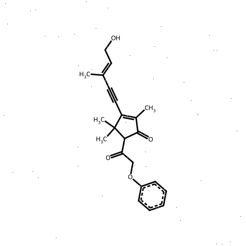 CC1=C(C#C/C(C)=C/CO)C(C)(C)C(C(=O)COc2ccccc2)C1=O